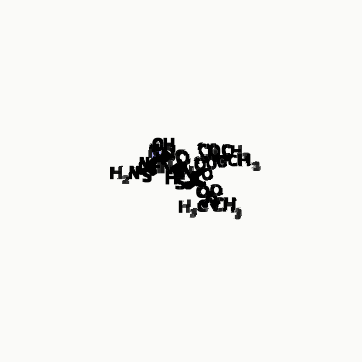 CC(C)OC(=O)OC(C)OC(=O)C1=C(COC(=O)N(C)C)CS[C@H]2C(NC(=O)/C(=N\O)c3csc(N)n3)C(=O)N12